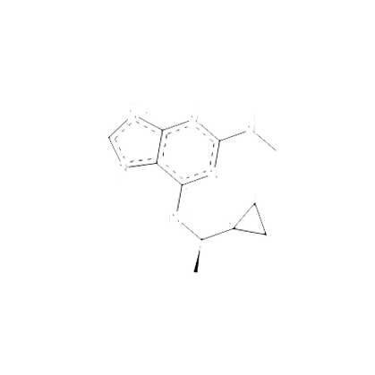 CNc1nc(N[C@H](C)C2CC2)c2nc[nH]c2n1